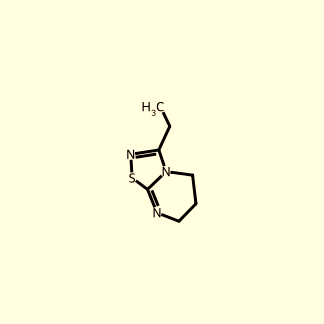 CCC1=NSC2=NCCCN12